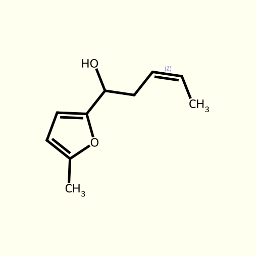 C/C=C\CC(O)c1ccc(C)o1